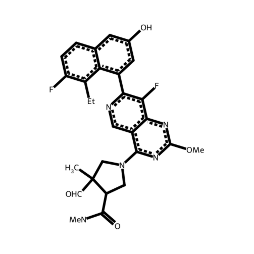 CCc1c(F)ccc2cc(O)cc(-c3ncc4c(N5CC(C(=O)NC)C(C)(C=O)C5)nc(OC)nc4c3F)c12